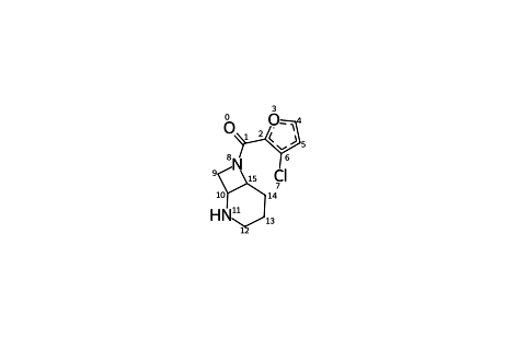 O=C(c1occc1Cl)N1CC2NCCCC21